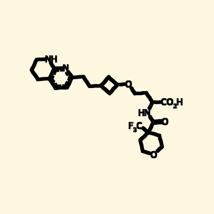 O=C(O)C(CCOC1CC(CCc2ccc3c(n2)NCCC3)C1)NC(=O)C1(C(F)(F)F)CCOCC1